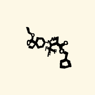 CCOC(=O)[C@]1(CC)CC[C@H](n2ncc(C(=O)OCc3ccccc3)c2C(F)(F)F)CC1